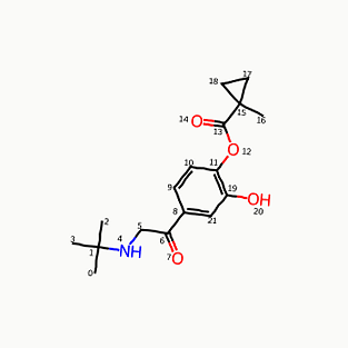 CC(C)(C)NCC(=O)c1ccc(OC(=O)C2(C)CC2)c(O)c1